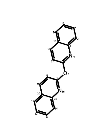 c1ccc2nc(Oc3ccc4ccccc4n3)ccc2c1